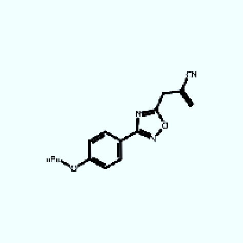 C=C(C#N)Cc1nc(-c2ccc(OCCCC)cc2)no1